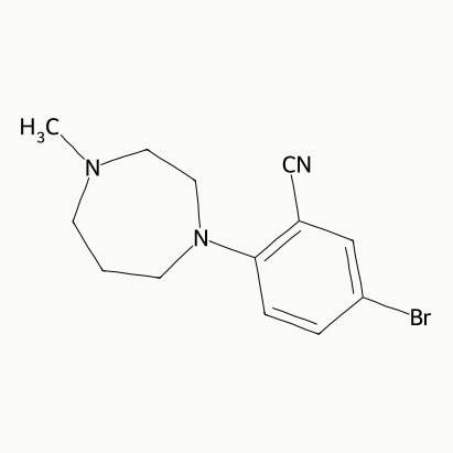 CN1CCCN(c2ccc(Br)cc2C#N)CC1